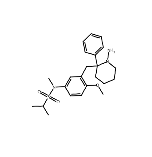 COc1ccc(N(C)S(=O)(=O)C(C)C)cc1CC1(c2ccccc2)CCCCN1N